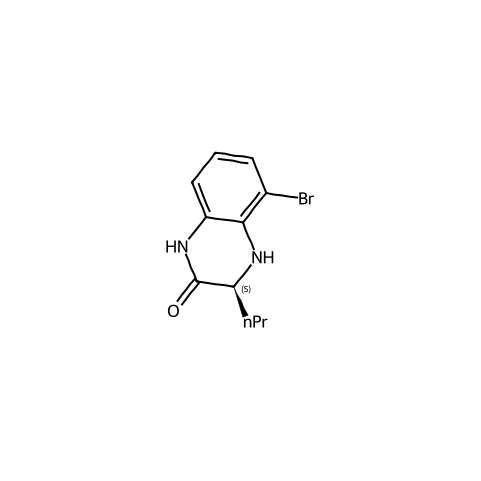 CCC[C@@H]1Nc2c(Br)cccc2NC1=O